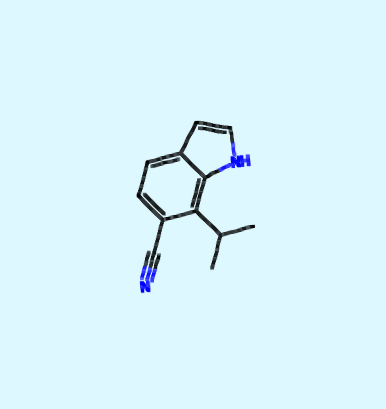 CC(C)c1c(C#N)ccc2cc[nH]c12